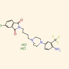 Cl.Cl.Nc1ccc(N2CCN(CCCCN3C(=O)c4ccc(Cl)cc4C3=O)CC2)cc1C(F)(F)F